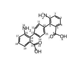 Nc1cccc(C(=O)O)c1-c1ccc(-c2c(N)cccc2C(=O)O)cc1